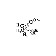 CCCCN(/C=C/C1=[N+](CCc2ccc(OC(C)C)cc2)c2ccc(Cl)cc2C1(C)C)CCCC